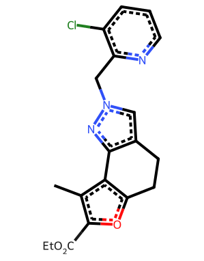 CCOC(=O)c1oc2c(c1C)-c1nn(Cc3ncccc3Cl)cc1CC2